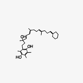 C/C(=C\CC/C(C)=C/CC[C@@](C)(O)CCc1c(C)c(O)c(C)c(C)c1O)CCC=C1CCCCC1